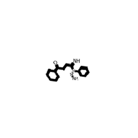 N=NN(C(=N)CCC(=O)C1CCCCC1)c1ccccc1